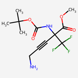 COC(=O)C(C#CCN)(NC(=O)OC(C)(C)C)C(F)(F)F